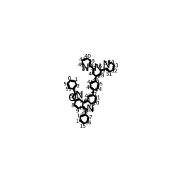 c1ccc(-c2nc3c(ccc4c(-c5ccccc5)nc5ccc(-c6ccc(-c7cc(-c8ccccn8)nc(-c8ccccn8)c7)cc6)cc5c43)o2)cc1